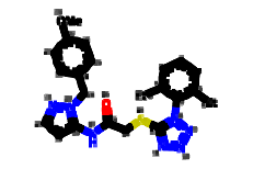 CCc1cccc(CC)c1-n1nnnc1SCC(=O)Nc1ccnn1Cc1ccc(OC)cc1